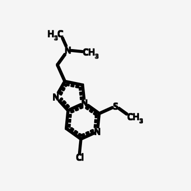 CSc1nc(Cl)cc2nc(CN(C)C)cn12